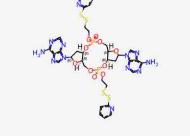 Nc1ncnc2c1ncn2C1C[C@H]2OP(=O)(OCCSSc3ccccn3)OC[C@H]3O[C@@H](n4cnc5c(N)ncnc54)C[C@H]3OP(=O)(OCCSSc3ccccn3)OC[C@H]2O1